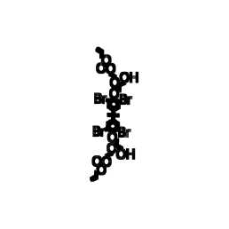 C=CCOC(=O)OCCOC(CO)COc1c(Br)cc(C(C)(C)c2cc(Br)c(OCC(CO)OCCOC(=O)OCC=C)c(Br)c2)cc1Br